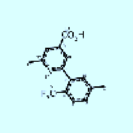 Cc1ccc(C(F)(F)F)c(-c2cc(C(=O)O)cc(C)n2)c1